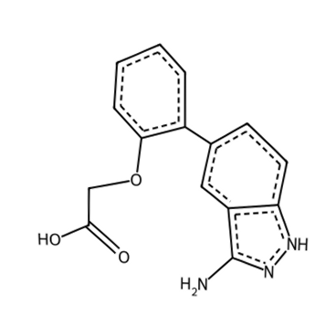 Nc1n[nH]c2ccc(-c3ccccc3OCC(=O)O)cc12